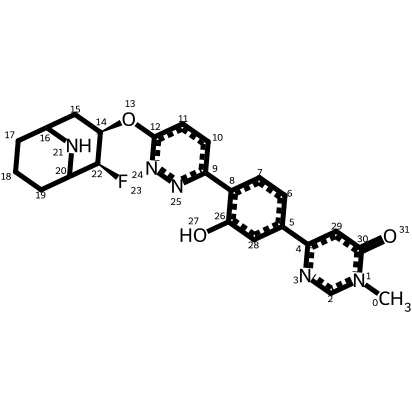 Cn1cnc(-c2ccc(-c3ccc(O[C@@H]4CC5CCCC(N5)[C@@H]4F)nn3)c(O)c2)cc1=O